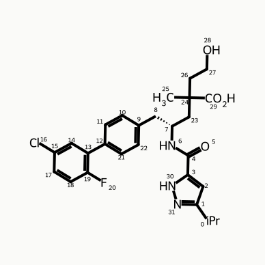 CC(C)c1cc(C(=O)N[C@H](Cc2ccc(-c3cc(Cl)ccc3F)cc2)CC(C)(CCO)C(=O)O)[nH]n1